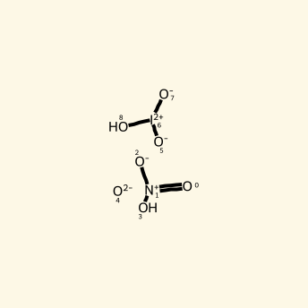 O=[N+]([O-])O.[O-2].[O-][I+2]([O-])O